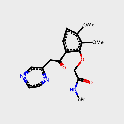 CCCNC(=O)COc1c(C(=O)Cc2cnccn2)ccc(OC)c1OC